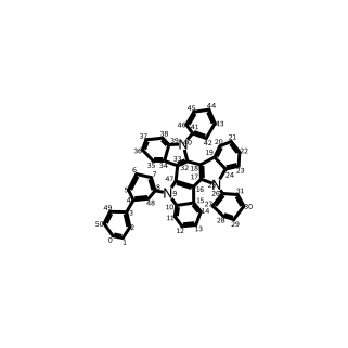 c1ccc(-c2cccc(-n3c4ccccc4c4c5c(c6ccccc6n5-c5ccccc5)c5c(c6ccccc6n5-c5ccccc5)c43)c2)cc1